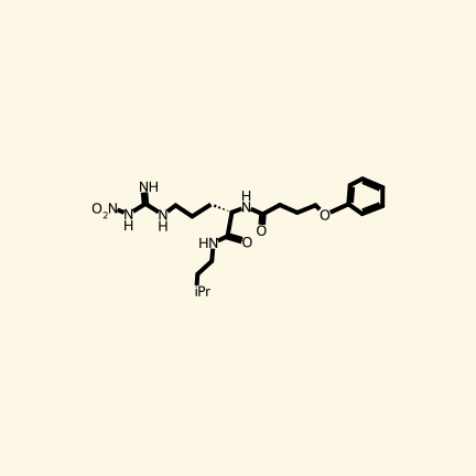 CC(C)CCNC(=O)[C@H](CCCNC(=N)N[N+](=O)[O-])NC(=O)CCCOc1ccccc1